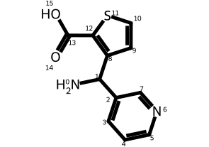 NC(c1cccnc1)c1ccsc1C(=O)O